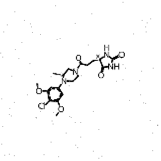 COc1cc(N2CCN(C(=O)CC[C@H]3NC(=O)NC3=O)C[C@@H]2C)cc(OC)c1Cl